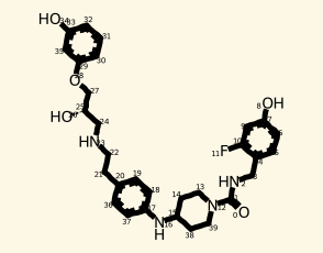 O=C(NCc1ccc(O)cc1F)N1CCC(Nc2ccc(CCNC[C@H](O)COc3cccc(O)c3)cc2)CC1